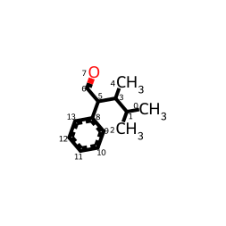 CC(C)C(C)C(C=O)c1ccccc1